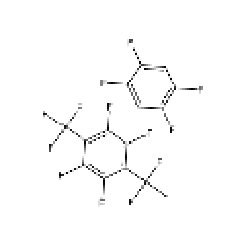 Fc1c(F)c(C(F)(F)F)c(F)c(F)c1C(F)(F)F.Fc1cc(F)c(F)cc1F